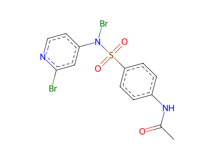 CC(=O)Nc1ccc(S(=O)(=O)N(Br)c2ccnc(Br)c2)cc1